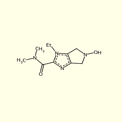 CCn1c(C(=O)N(C)C)nc2c1CN(O)C2